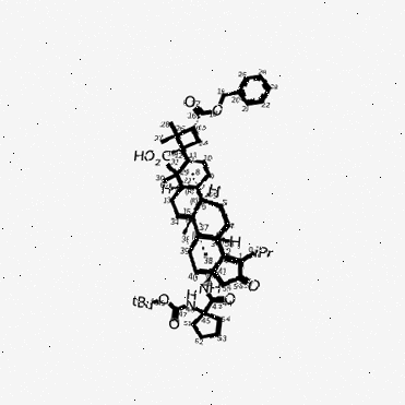 CC(C)C1=C2[C@H]3CC[C@@H]4[C@]5(C)CC[C@H]([C@@]6(C(=O)O)C[C@@H](C(=O)OCc7ccccc7)C6(C)C)C(C)(C)[C@H]5CC[C@@]4(C)[C@]3(C)CC[C@@]2(NC(=O)C2(NC(=O)OC(C)(C)C)CCCC2)CC1=O